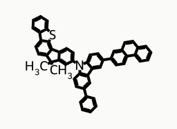 CC1(C)c2cc(-n3c4ccc(-c5ccccc5)cc4c4cc(-c5ccc6c(ccc7ccccc76)c5)ccc43)ccc2-c2c1ccc1c2sc2ccccc21